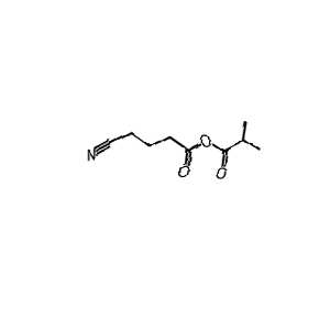 CC(C)C(=O)OC(=O)CCCC#N